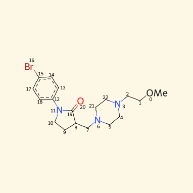 COCCN1CCN(CC2CCN(c3ccc(Br)cc3)C2=O)CC1